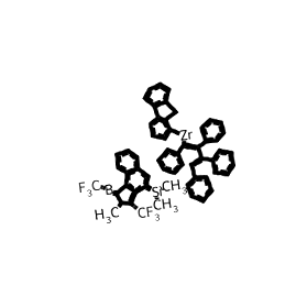 C(=C(C(=[C]([Zr][c]1cccc2c1Cc1ccccc1-2)c1ccccc1)c1ccccc1)c1ccccc1)c1ccccc1.CC1C(=BC(F)(F)F)c2c(c(=[Si](C)C)cc3ccccc23)=C1C(F)(F)F